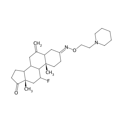 C=C1CC2C(C(F)C[C@]3(C)C(=O)CCC23)[C@@]2(C)CCC(=NOCCN3CCCCC3)CC12